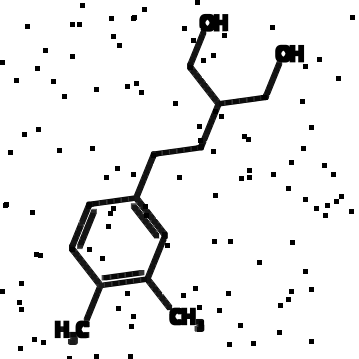 Cc1ccc(CCC(CO)CO)cc1C